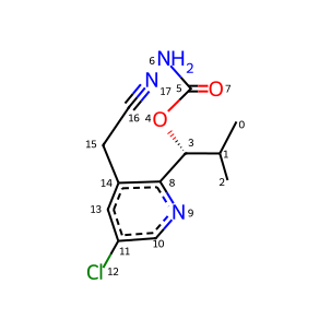 CC(C)[C@@H](OC(N)=O)c1ncc(Cl)cc1CC#N